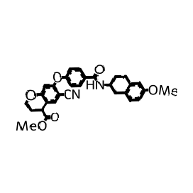 COC(=O)C1CCOc2cc(Oc3ccc(C(=O)NC4CCc5cc(OC)ccc5C4)cc3)c(C#N)cc21